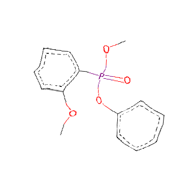 COc1ccccc1P(=O)(OC)Oc1ccccc1